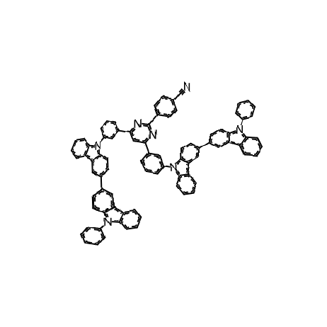 N#Cc1ccc(-c2nc(-c3cccc(-n4c5ccccc5c5cc(-c6ccc7c(c6)c6ccccc6n7-c6ccccc6)ccc54)c3)cc(-c3cccc(-n4c5ccccc5c5cc(-c6ccc7c(c6)c6ccccc6n7-c6ccccc6)ccc54)c3)n2)cc1